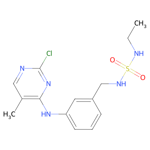 CCNS(=O)(=O)NCc1cccc(Nc2nc(Cl)ncc2C)c1